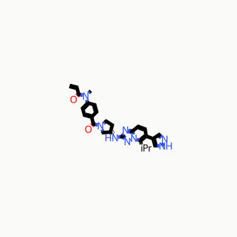 C=CC(=O)N(C)c1ccc(C(=O)N2CC[C@@H](Nc3nc4ccc(-c5cn[nH]c5)c(C(C)C)n4n3)C2)cc1